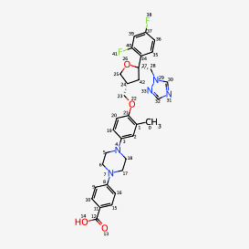 Cc1cc(N2CCN(c3ccc(C(=O)O)cc3)CC2)ccc1OC[C@@H]1CO[C@@](Cn2cncn2)(c2ccc(F)cc2F)C1